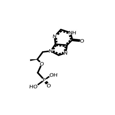 C[C@@H](Cn1cnc2c(=O)[nH]cnc21)OCP(=O)(O)O